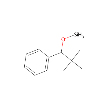 CC(C)(C)C(O[SiH3])c1ccccc1